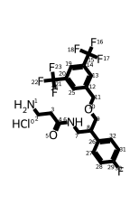 Cl.NCCC(=O)NCC(COCc1cc(C(F)(F)F)cc(C(F)(F)F)c1)c1ccc(F)cc1